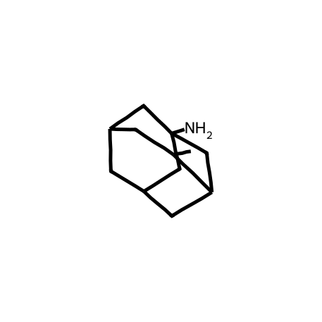 CC1CC2CC3CC1CC(N)(C2)C3